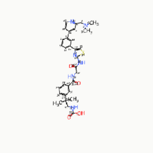 CN(C)Cc1cc(-c2cccc(-c3csc(NC(=O)CNC(=O)c4cccc(C(C)(C)CNC(=O)O)c4)n3)c2)ccn1